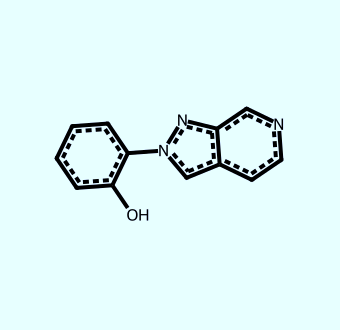 Oc1ccccc1-n1cc2ccncc2n1